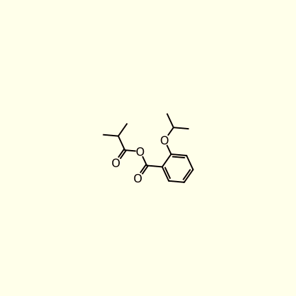 CC(C)Oc1ccccc1C(=O)OC(=O)C(C)C